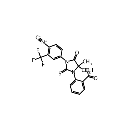 [C-]#[N+]c1ccc(N2C(=O)C(C)(C)N(c3ccccc3C(=O)O)C2=S)cc1C(F)(F)F